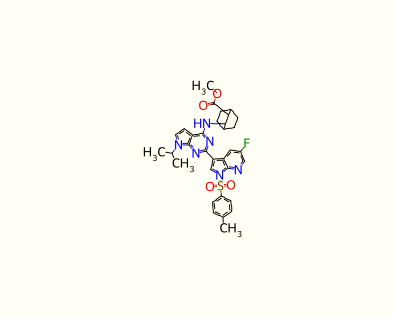 COC(=O)C1C2CCC(CC2)C1Nc1nc(-c2cn(S(=O)(=O)c3ccc(C)cc3)c3ncc(F)cc23)nc2c1ccn2C(C)C